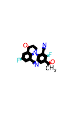 CC(=O)c1ccc(N2CCC(=O)c3cc(F)cc(C#N)c32)c(C#N)c1F